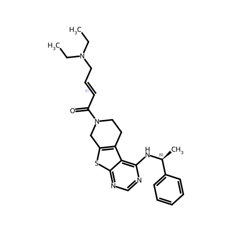 CCN(CC)C/C=C/C(=O)N1CCc2c(sc3ncnc(N[C@@H](C)c4ccccc4)c23)C1